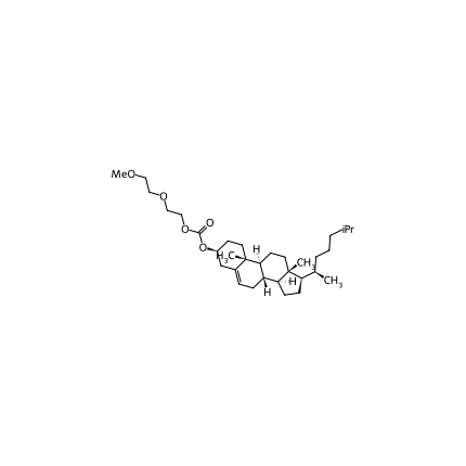 COCCOCCOC(=O)O[C@H]1CC[C@@]2(C)C(=CC[C@H]3[C@@H]4CC[C@H]([C@H](C)CCCC(C)C)[C@@]4(C)CC[C@@H]32)C1